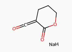 O=C=C1CCCOC1=O.[NaH]